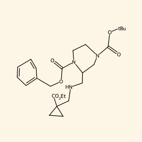 CCOC(=O)C1(CNCC2CN(C(=O)OC(C)(C)C)CCN2C(=O)OCc2ccccc2)CC1